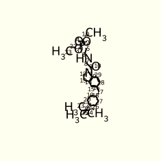 CCOP(=O)(CCNCC(=O)N1CCc2cc(C[C@H]3CC[C@H](C(C)(C)C)CC3)ccc21)OCC